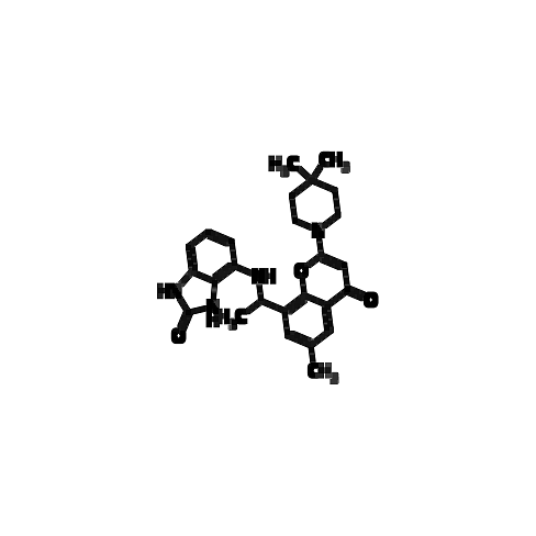 Cc1cc(C(C)Nc2cccc3[nH]c(=O)[nH]c23)c2oc(N3CCC(C)(C)CC3)cc(=O)c2c1